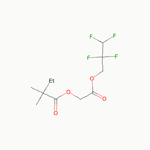 CCC(C)(C)C(=O)OCC(=O)OCC(F)(F)C(F)F